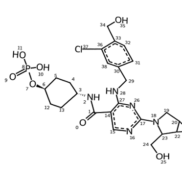 O=C(N[C@H]1CC[C@H](OP(=O)(O)O)CC1)c1cnc(N2CC3CC3C2CO)nc1NCc1ccc(CO)c(Cl)c1